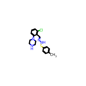 Cc1ccc(SN/N=C/c2c(Cl)cccc2N2CCNCC2)cc1